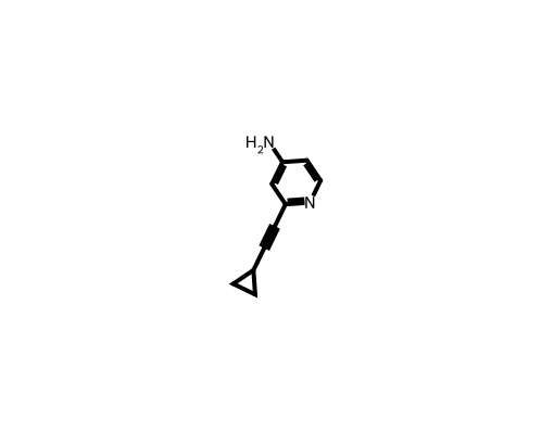 Nc1ccnc(C#CC2CC2)c1